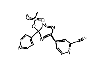 CS(=O)(=O)OC1(c2ccncc2)N=NC(c2ccnc(C#N)c2)=N1